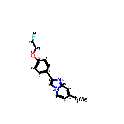 CNc1ccn2cc(-c3ccc(OCCF)cc3)nc2c1